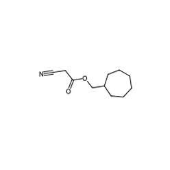 N#CCC(=O)OCC1CCCCCC1